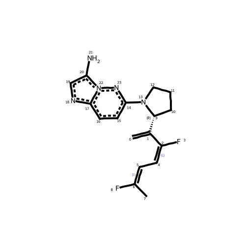 C=C(/C(F)=C\C=C(/C)F)[C@H]1CCCN1c1ccc2ncc(N)n2n1